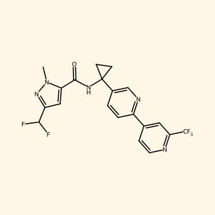 Cn1nc(C(F)F)cc1C(=O)NC1(c2ccc(-c3ccnc(C(F)(F)F)c3)nc2)CC1